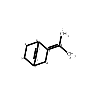 CC(C)=C1CC2C=CC1CC2